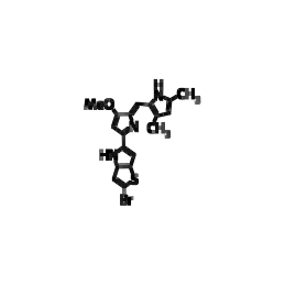 COC1=CC(c2cc3sc(Br)cc3[nH]2)=NC1=Cc1[nH]c(C)cc1C